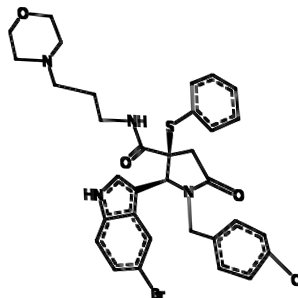 O=C1C[C@@](Sc2ccccc2)(C(=O)NCCCN2CCOCC2)[C@H](c2c[nH]c3ccc(Br)cc23)N1Cc1ccc(Cl)cc1